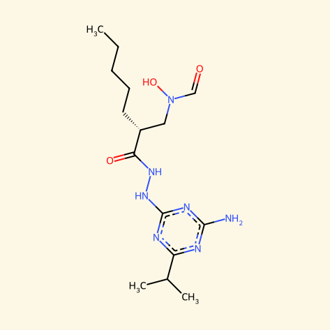 CCCCC[C@H](CN(O)C=O)C(=O)NNc1nc(N)nc(C(C)C)n1